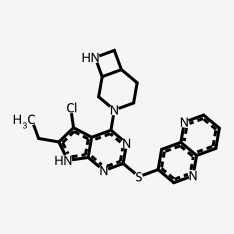 CCc1[nH]c2nc(Sc3cnc4cccnc4c3)nc(N3CCC4CNC4C3)c2c1Cl